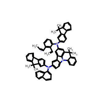 C=Cc1c(/C=C\C)cccc1N(c1ccc2c(c1)C(C)(C)c1ccccc1-2)c1cc2c3c(c1)c1cc(N(c4ccc5c(c4)C(C)(C)c4ccccc4-5)c4cccc5ccccc45)ccc1n3-c1ccccc1C2(C)C